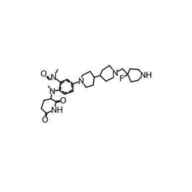 CN(C=O)c1cc(N2CCC(C3CCN(CC4(F)CCNCC4)CC3)CC2)ccc1N(C)C1CCC(=O)NC1=O